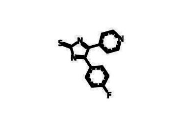 Fc1ccc(C2=NC(=S)N=C2c2ccncc2)cc1